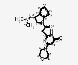 CN(C)C[C@@H]1CN(C(=O)Cc2nc(N3CCOCC3)cc(=O)[nH]2)c2ccccc21